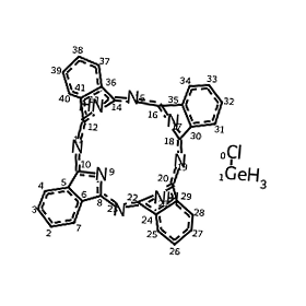 [Cl][GeH3].c1ccc2c(c1)-c1nc-2nc2[nH]c(nc3nc(nc4[nH]c(n1)c1ccccc41)-c1ccccc1-3)c1ccccc21